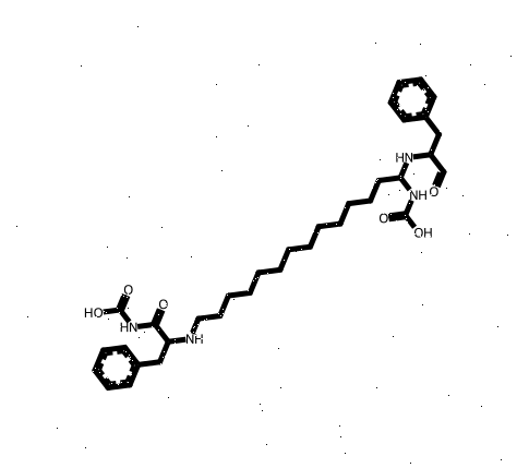 O=CC(Cc1ccccc1)NC(CCCCCCCCCCCCCNC(Cc1ccccc1)C(=O)NC(=O)O)NC(=O)O